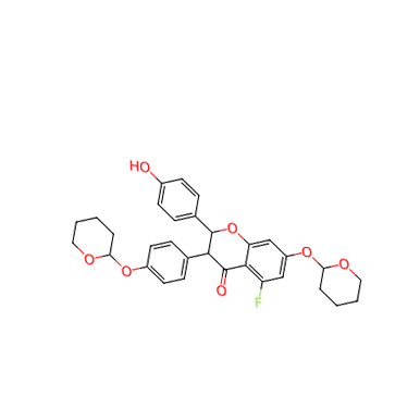 O=C1c2c(F)cc(OC3CCCCO3)cc2OC(c2ccc(O)cc2)C1c1ccc(OC2CCCCO2)cc1